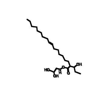 CCCCCCCCC=CCCCCCCC(C(=O)ONCC(O)O)C(O)CC